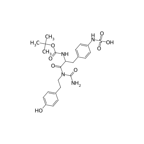 CC(C)(C)OC(=O)NC(Cc1ccc(NS(=O)(=O)O)cc1)C(=O)N(CCc1ccc(O)cc1)C(N)=O